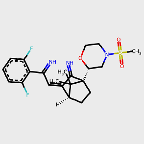 CC1(C)[C@H]2CCC1([C@H]1CN(S(C)(=O)=O)CCO1)C(=N)/C2=C\C(=N)c1c(F)cccc1F